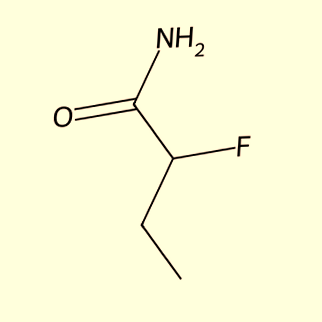 CCC(F)C(N)=O